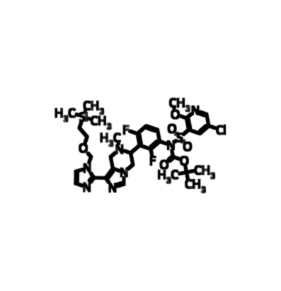 COc1ncc(Cl)cc1S(=O)(=O)N(C(=O)OC(C)(C)C)c1ccc(F)c(C2Cn3cnc(-c4nccn4COCC[Si](C)(C)C)c3CN2C)c1F